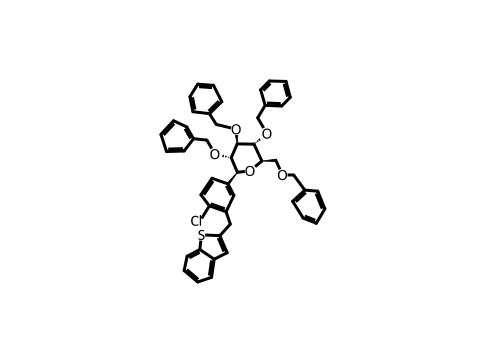 Clc1ccc([C@@H]2O[C@H](COCc3ccccc3)[C@@H](OCc3ccccc3)[C@H](OCc3ccccc3)[C@H]2OCc2ccccc2)cc1Cc1cc2ccccc2s1